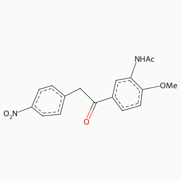 COc1ccc(C(=O)Cc2ccc([N+](=O)[O-])cc2)cc1NC(C)=O